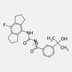 CC(C)(O)c1cccc(/[SH](=O)=N/C(=O)Nc2c3c(c(F)c4c2CCC4)CCC3)c1